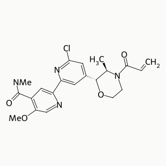 C=CC(=O)N1CCO[C@H](c2cc(Cl)nc(-c3cc(C(=O)NC)c(OC)cn3)c2)[C@H]1C